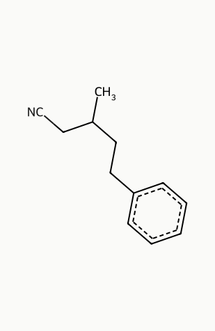 CC(CC#N)CCc1ccccc1